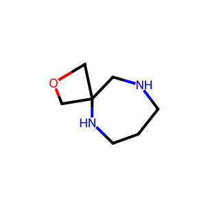 C1CNCC2(COC2)NC1